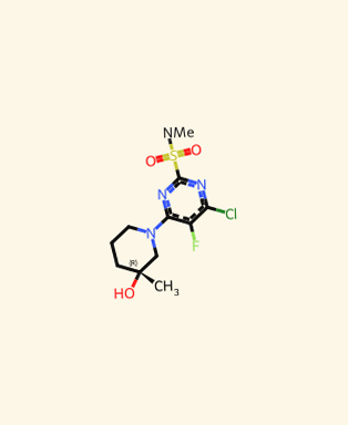 CNS(=O)(=O)c1nc(Cl)c(F)c(N2CCC[C@@](C)(O)C2)n1